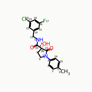 Cc1ccc(N2CC[C@@](O)(C(=O)NCc3cc(F)cc(Cl)c3)C2=O)cc1